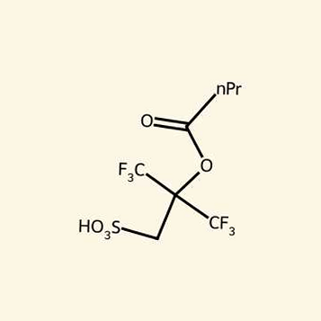 CCCC(=O)OC(CS(=O)(=O)O)(C(F)(F)F)C(F)(F)F